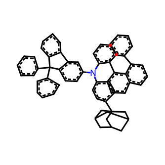 c1ccc(-c2cccc3cccc(-c4ccccc4N(c4ccc(C56CC7CC(CC(C7)C5)C6)cc4)c4ccc5c(c4)-c4ccccc4C5(c4ccccc4)c4ccccc4)c23)cc1